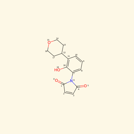 O=C1C=CC(=O)N1c1cccc(C2CCOCC2)c1O